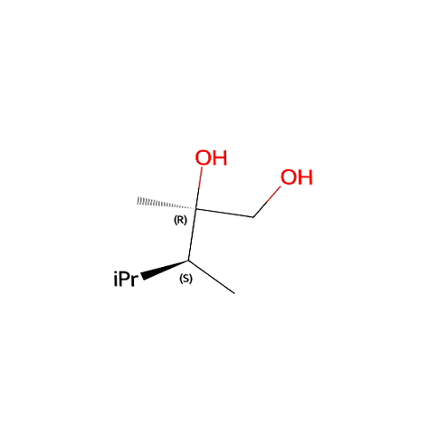 CC(C)[C@H](C)[C@@](C)(O)CO